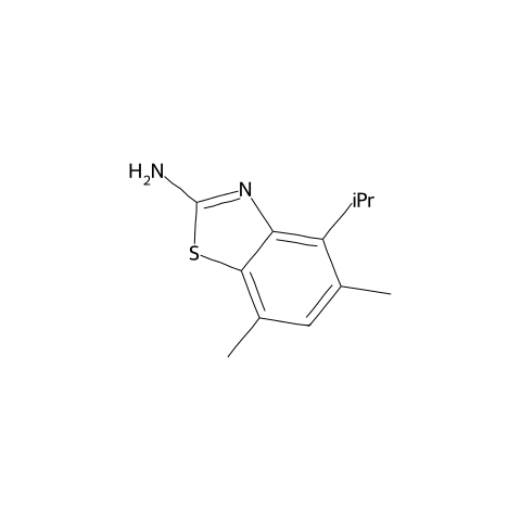 Cc1cc(C)c2sc(N)nc2c1C(C)C